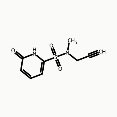 C#CCN(C)S(=O)(=O)c1cccc(=O)[nH]1